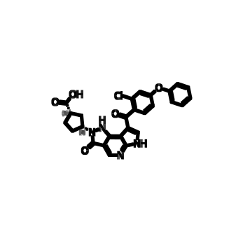 O=C(c1ccc(Oc2ccccc2)cc1Cl)c1c[nH]c2ncc3c(=O)n([C@@H]4CC[C@H](C(=O)O)C4)[nH]c3c12